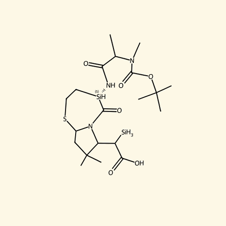 CC(C(=O)N[Si@H]1CCSC2CC(C)(C)C(C([SiH3])C(=O)O)N2C1=O)N(C)C(=O)OC(C)(C)C